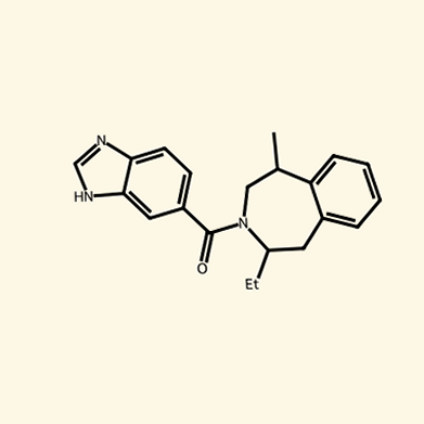 CCC1Cc2ccccc2C(C)CN1C(=O)c1ccc2nc[nH]c2c1